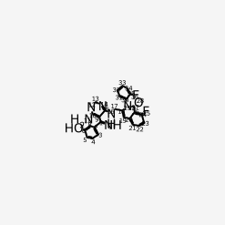 N=C(c1cccc(O)c1)c1c(N)ncnc1NCc1cc2cccc(F)c2c(=O)n1-c1ccccc1F